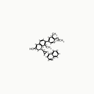 CNc1ncc(-c2ccc3c(c2C)N(C2CC2)CC(O)=C3)cc1C.c1ccc2ncccc2c1